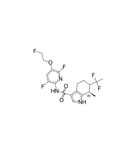 C[C@H]1c2[nH]cc(S(=O)(=O)Nc3nc(F)c(OCCF)cc3F)c2CCC1C(C)(F)F